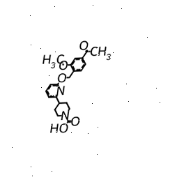 COc1cc(C(C)=O)ccc1COc1cccc(C2CCN(C(=O)O)CC2)n1